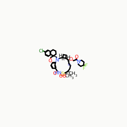 C[C@@H]1[C@@H](C)C/C=C/[C@H](OCC(=O)N2CCC(F)(F)CC2)[C@@H]2CC[C@H]2CN2C[C@@]3(CCCc4cc(Cl)ccc43)COc3ccc(cc32)C(=O)NS1(=O)=O